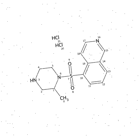 CC1CNCCN1S(=O)(=O)c1cccc2cnccc12.Cl.Cl